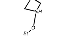 CCO[SiH]1CCC1